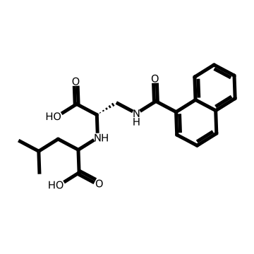 CC(C)CC(N[C@@H](CNC(=O)c1cccc2ccccc12)C(=O)O)C(=O)O